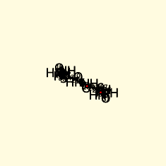 O=C(CCCC[C@@H]1SC[C@@H]2NC(=O)N[C@@H]21)NCCNC(=O)CCCC[C@@H]1SC[C@@H]2NC(=O)N[C@@H]21